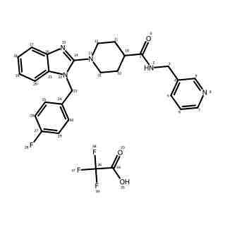 O=C(NCc1cccnc1)C1CCN(c2nc3ccccc3n2Cc2ccc(F)cc2)CC1.O=C(O)C(F)(F)F